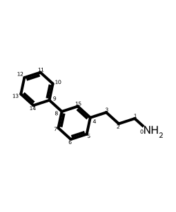 NCCCc1cccc(-c2ccccc2)c1